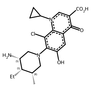 CC[C@@H]1[C@H](N)CN(c2c(O)cc3c(=O)c(C(=O)O)cn(C4CC4)c3c2Cl)C[C@@H]1C